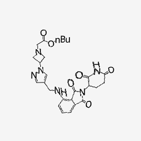 CCCCOC(=O)CN1CC(n2cc(CNc3cccc4c3C(=O)N(C3CCC(=O)NC3=O)C4=O)cn2)C1